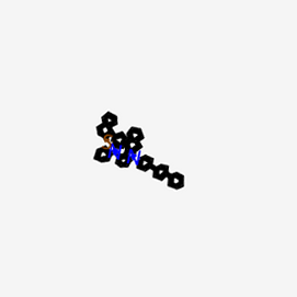 c1ccc(-c2ccc(-c3ccc(-n4c5cc6ccccc6cc5c5c(N(c6ccccc6)c6cccc7c6sc6ccc8ccccc8c67)cccc54)cc3)cc2)cc1